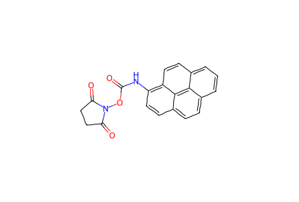 O=C(Nc1ccc2ccc3cccc4ccc1c2c34)ON1C(=O)CCC1=O